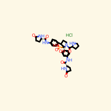 Cl.O=C1CC[C@@H](C(=O)Nc2ccc(C3CCN(C(=O)C4CCCN4)[C@@]3(c3ccc(NC(=O)[C@@H]4CCC(=O)N4)cc3)P(=O)(O)O)cc2)N1